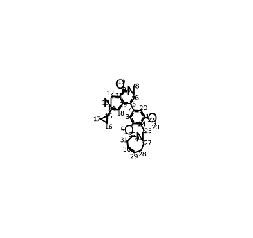 COc1cc(-c2cn(C)c(=O)c3cnc(C4CC4)cc23)cc(OC)c1CN1CCC=CCC1